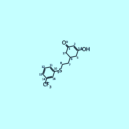 O=C1C=C(O)CC(CCSc2cccc(C(F)(F)F)c2)C1